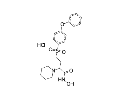 Cl.O=C(NO)C(CCS(=O)(=O)c1ccc(Oc2ccccc2)cc1)N1CCCCC1